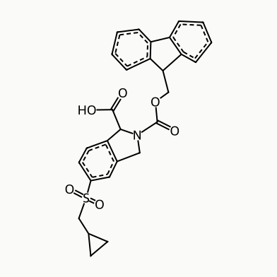 O=C(O)C1c2ccc(S(=O)(=O)CC3CC3)cc2CN1C(=O)OCC1c2ccccc2-c2ccccc21